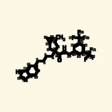 CCCC(CCCCc1ccc2nc[nH]c2c1)(CC1CC1)C(=O)NCc1cc(C(F)(F)F)cc(C(F)(F)F)c1